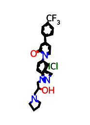 Cl.O=c1cc(-c2ccc(C(F)(F)F)cc2)ccn1-c1ccc2c(cnn2CC(O)CN2CCCC2)c1